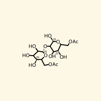 CC(=O)OCC1O[C@@H](OC2C(O)[C@H](O)C(COC(C)=O)O[C@@H]2O)C(O)C(O)[C@@H]1O